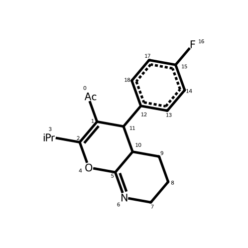 CC(=O)C1=C(C(C)C)OC2=NCCCC2C1c1ccc(F)cc1